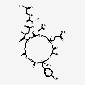 CCC(C)C1NC[C@](C=O)(Cc2ccc(O)cc2)NC(=O)CNC(=O)CC[C@@H](C(=O)N(C)CC(=O)N[C@H](C(=O)NCC(N)=O)[C@@H](C)CC)NC(=O)[C@H](CC(N)=O)NC[C@](C=O)(CCC(N)=O)NC1=O